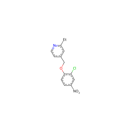 CCc1cc(COc2ccc([N+](=O)[O-])cc2Cl)ccn1